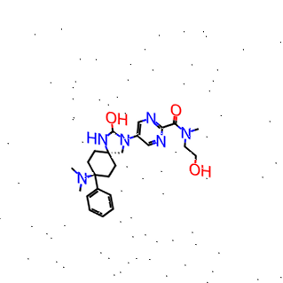 CN(CCO)C(=O)c1ncc(N2C[C@]3(CC[C@](c4ccccc4)(N(C)C)CC3)NC2O)cn1